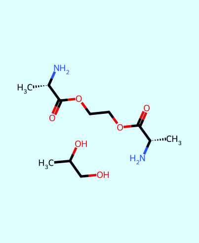 CC(O)CO.C[C@H](N)C(=O)OCCOC(=O)[C@H](C)N